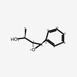 C[C@H](O)[C@H]1O[C@@H]1c1ccccc1